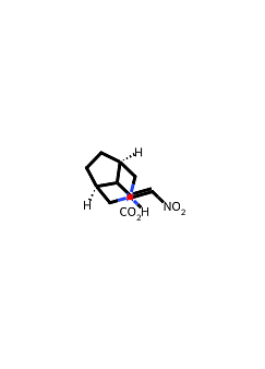 O=C(O)N1C[C@H]2CC[C@@H](C1)C2/C=C/[N+](=O)[O-]